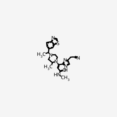 CNC(=O)/C=C(\c1nc(CC#N)c[nH]1)N1CCN(C(C)c2ccc3ncsc3c2)CC1C